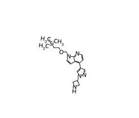 C[Si](C)(C)CCOCn1ccc2c(-c3cnn([C]4CNC4)c3)ccnc21